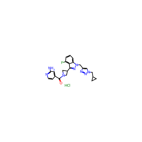 Cl.Nc1cc(C(=O)N2CC(c3nn(Cc4cn(CC5CC5)nn4)c4cccc(F)c34)C2)ccn1